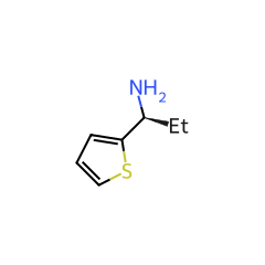 CC[C@H](N)c1cccs1